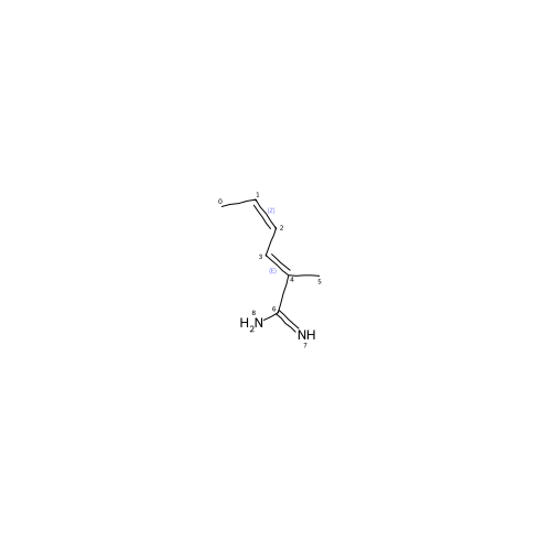 C/C=C\C=C(/C)C(=N)N